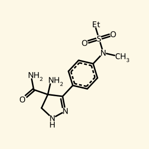 CCS(=O)(=O)N(C)c1ccc(C2=NNCC2(N)C(N)=O)cc1